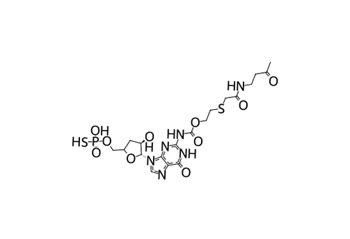 CC(=O)CCNC(=O)CSCCOC(=O)Nc1nc2c(ncn2[C@@H]2OC(COP(=O)(O)S)C[C@H]2O)c(=O)[nH]1